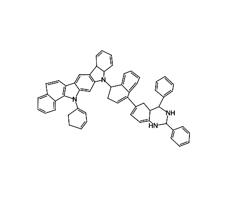 C1=CCCC(n2c3cc4c(cc3c3ccc5ccccc5c32)C2C=CC=CC2N4C2CC=C(C3=CC=C4NC(c5ccccc5)NC(c5ccccc5)C4C3)c3ccccc32)=C1